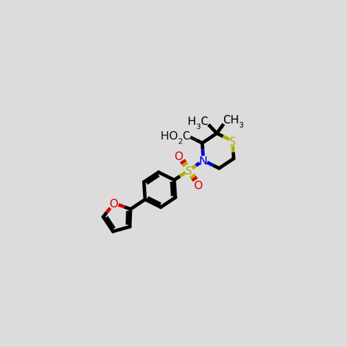 CC1(C)SCCN(S(=O)(=O)c2ccc(-c3ccco3)cc2)C1C(=O)O